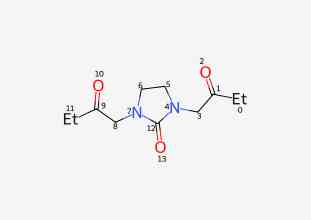 CCC(=O)CN1CCN(CC(=O)CC)C1=O